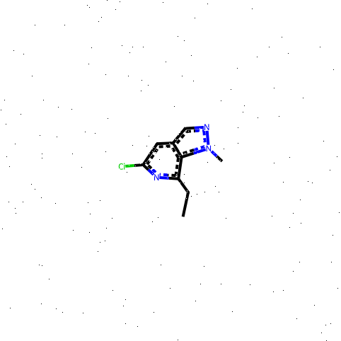 CCc1nc(Cl)cc2cnn(C)c12